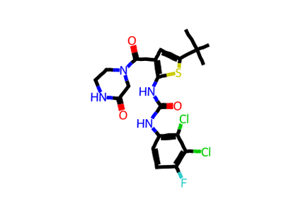 CC(C)(C)c1cc(C(=O)N2CCNC(=O)C2)c(NC(=O)Nc2ccc(F)c(Cl)c2Cl)s1